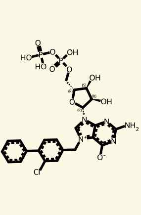 Nc1nc([O-])c2c(n1)n([C@@H]1O[C@H](COP(=O)(O)OP(=O)(O)O)[C@@H](O)[C@H]1O)c[n+]2Cc1ccc(-c2ccccc2)c(Cl)c1